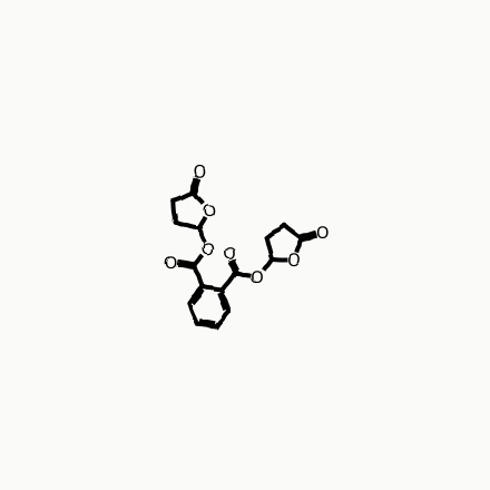 O=C1CCC(OC(=O)c2ccccc2C(=O)OC2CCC(=O)O2)O1